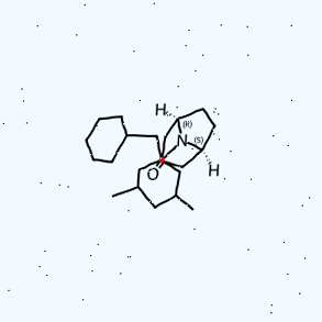 CC1CC(C)CC(CC2CCCCC2)(N2[C@@H]3CC[C@H]2CC(=O)C3)C1